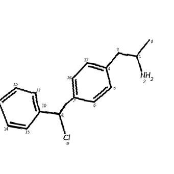 CC(N)Cc1ccc(C(Cl)c2ccccc2)cc1